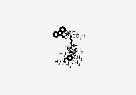 [H]/N=C(\NCCC[C@@H](C(=O)O)N(C)C(=O)OCC1c2ccccc2-c2ccccc21)N(C)S(=O)(=O)c1c(C)c(C)c2c(c1C)CC(C)(C)O2